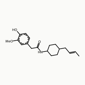 CC=CCC1CCC(NC(=O)Cc2ccc(O)c(OC)c2)CC1